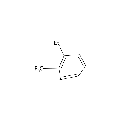 CCc1ccc[c]c1C(F)(F)F